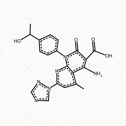 Cc1cc(-n2cncn2)nc2c1c(N)c(C(=O)O)c(=O)n2-c1ccc(C(C)O)cc1